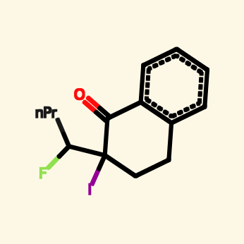 CCCC(F)C1(I)CCc2ccccc2C1=O